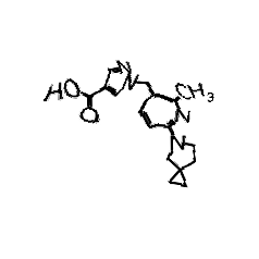 Cc1nc(N2CCC3(CC3)C2)ccc1Cn1cc(C(=O)O)cn1